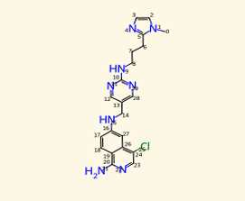 Cn1ccnc1CCCNc1ncc(CNc2ccc3c(N)ncc(Cl)c3c2)cn1